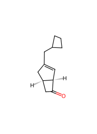 O=C1C[C@H]2CC(CC3CCC3)=C[C@@H]12